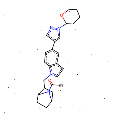 CC(C)C(=O)N1C2CCC1C(Cn1ccc3cc(-c4cnn(C5CCCCO5)c4)ccc31)C2